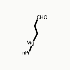 CC[CH2][Mg][CH2]CC=O